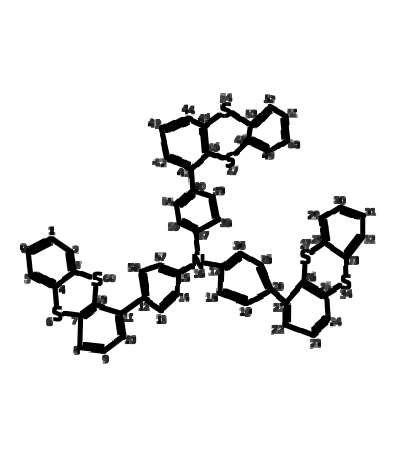 c1ccc2c(c1)Sc1cccc(-c3ccc(N(c4ccc(-c5cccc6c5Sc5ccccc5S6)cc4)c4ccc(-c5cccc6c5Sc5ccccc5S6)cc4)cc3)c1S2